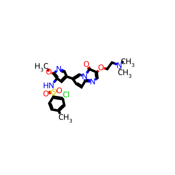 COc1ncc(-c2ccc3ncc(OCCN(C)C)c(=O)n3c2)cc1NS(=O)(=O)c1ccc(C)cc1Cl